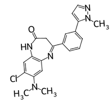 CN(C)c1cc2c(cc1Cl)NC(=O)CC(c1cccc(-c3ccnn3C)c1)=N2